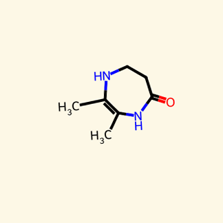 CC1=C(C)NC(=O)CCN1